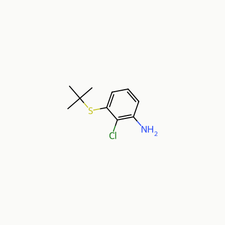 CC(C)(C)Sc1cccc(N)c1Cl